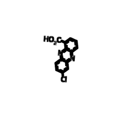 O=C(O)c1cccc2nc3cc(Cl)ccc3nc12